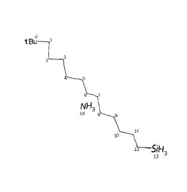 CC(C)(C)CCCCCCCCCCCC[SiH3].N